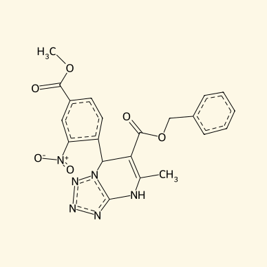 COC(=O)c1ccc(C2C(C(=O)OCc3ccccc3)=C(C)Nc3nnnn32)c([N+](=O)[O-])c1